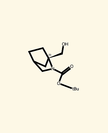 CC(C)(C)OC(=O)N1CC2CC[C@@]1(CO)C2